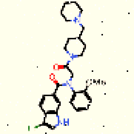 COc1ccccc1N(CC(=O)N1CCC(CN2CCCCC2)CC1)C(=O)c1ccc2c(Cl)c[nH]c2c1